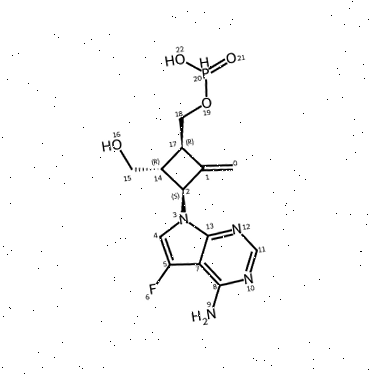 C=C1[C@@H](n2cc(F)c3c(N)ncnc32)[C@H](CO)[C@H]1CO[PH](=O)O